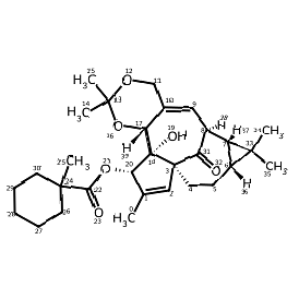 CC1=C[C@@]23CC[C@@H]4[C@H]([C@H](C=C5COC(C)(C)O[C@H]5[C@]2(O)[C@H]1OC(=O)C1(C)CCCCC1)C3=O)C4(C)C